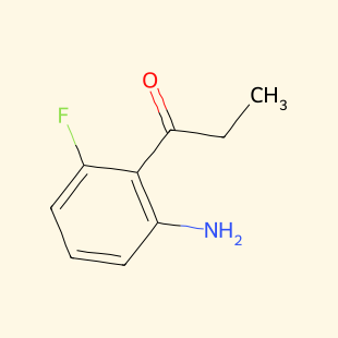 CCC(=O)c1c(N)cccc1F